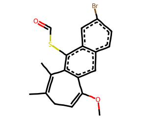 COC1=CCC(C)=C(C)c2c1cc1ccc(Br)cc1c2SC=O